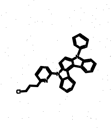 ClCCCc1cccc(-n2c3ccccc3c3c4c5ccccc5n(-c5ccccc5)c4ccc32)n1